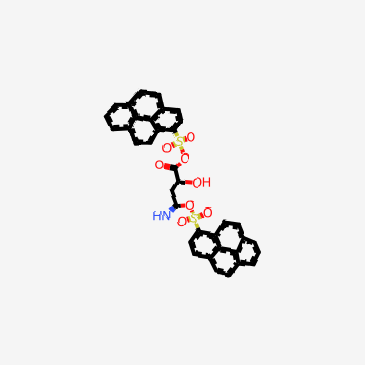 N=C(CC(O)C(=O)OS(=O)(=O)c1ccc2ccc3cccc4ccc1c2c34)OS(=O)(=O)c1ccc2ccc3cccc4ccc1c2c34